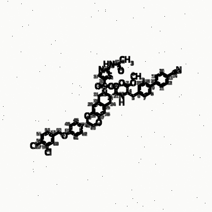 COC(=O)C(Cc1ccc(-c2ccc(C#N)cc2)cc1)NC(=O)[C@@H]1Cc2cc3c(cc2CN1S(=O)(=O)c1cnc(NC(C)=O)s1)O[C@@H](c1ccc(OCc2ccc(Cl)c(Cl)c2)cc1)CO3